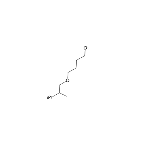 CC(C)C(C)COCCCC[O]